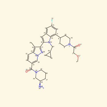 COCC(=O)N1CCC(c2cc(F)cc3cc(-c4nn5cc(C(=O)N6CCC[C@@H](N)C6)ccc5c4C)n(CC4CC4)c23)CC1